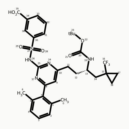 Cc1cccc(C)c1-c1cc(CC[C@@H](CC2(C(F)(F)F)CC2)NC(=O)OC(C)(C)C)nc(NS(=O)(=O)c2cccc(C(=O)O)c2)n1